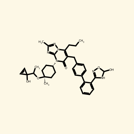 CCCc1c(Cc2ccc(-c3ccccc3C3=NOC(O)N3)cc2)c(=O)n([C@H]2CC[C@](C)(OC(C)C3(O)C=C3)CC2)c2nc(C)nn12